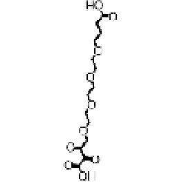 O=C(O)CCCOCCOCCOCCOCC(=O)C(=O)C(=O)O